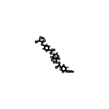 CCCCC(Br)C(=O)Oc1ccc(C(=O)O[C@@H]2CO[C@H]3[C@@H]2OC[C@H]3OC(=O)c2ccc(OC)cc2)cc1